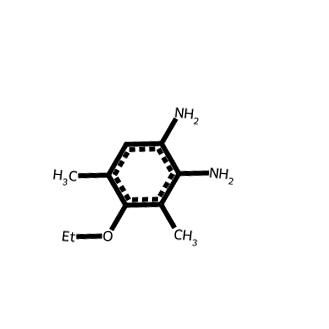 CCOc1c(C)cc(N)c(N)c1C